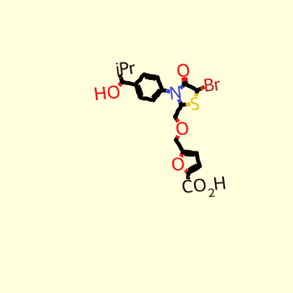 CC(C)C(O)c1ccc(N2C(=O)C(Br)SC2COCc2ccc(C(=O)O)o2)cc1